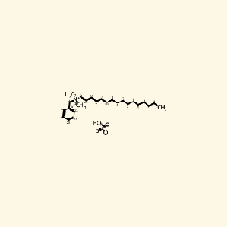 CCCCCCCCCCCCCCCC[N+](C)(C)Cc1ccccc1.O=S(=O)([O-])O